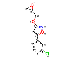 Clc1cccc(-c2cc(OCC3CO3)no2)c1